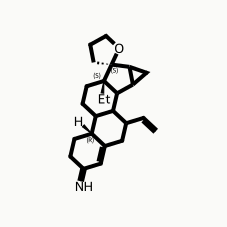 C=CC1CC2=CC(=N)CC[C@@H]2C2CC[C@@]3(CC)C(C4CC4[C@@]34CCCO4)C12